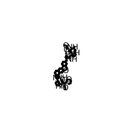 CON[C@H](C(=O)N1[C@@H](C)CC[C@H]1c1nc2ccc3cc4c(cc3c2[nH]1)OCc1cc(-c2cnc([C@@H]3CC[C@@H]5CC(C)[C@H](NC(=O)OC)C(=O)N53)[nH]2)ccc1-4)[C@H]1CCCOC1